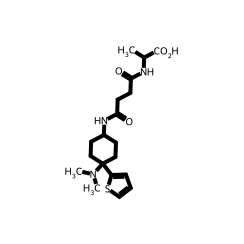 CC(NC(=O)CCC(=O)NC1CCC(c2cccs2)(N(C)C)CC1)C(=O)O